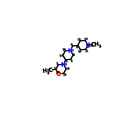 C[C@H]1CN(C2CCN(CC3CCN(C)CC3)CC2)CCO1